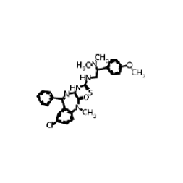 COc1ccc(C(CNC(=S)NC2N=C(c3ccccc3)c3cc(Cl)ccc3N(C)C2=O)N(C)C)cc1